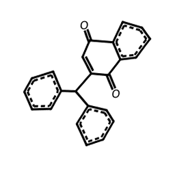 O=C1C=C(C(c2ccccc2)c2ccccc2)C(=O)c2ccccc21